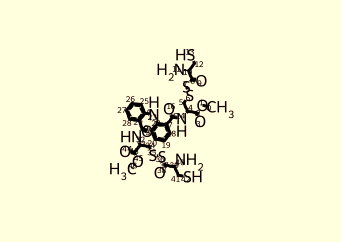 COC(=O)C(CSSC(=O)[C@@H](N)CS)NC(=O)c1ccccc1Nc1ccccc1C(=O)NC(CSSC(=O)[C@@H](N)CS)C(=O)OC